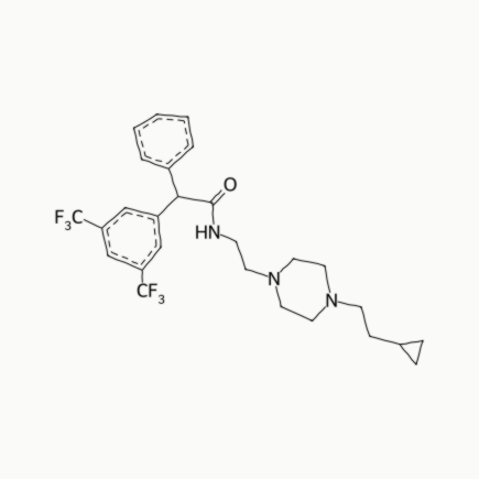 O=C(NCCN1CCN(CCC2CC2)CC1)C(c1ccccc1)c1cc(C(F)(F)F)cc(C(F)(F)F)c1